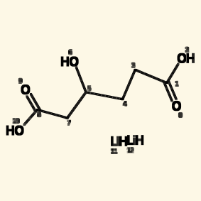 O=C(O)CCC(O)CC(=O)O.[LiH].[LiH]